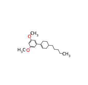 CCCCCC1CC=C(c2cc(OC)cc(OC)c2)CC1